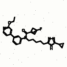 CCOc1cc(-c2cccc(N(CCCCCc3nnc(C4CC4)[nH]3)C(=O)C34CC(F)(C3)C4)c2)ccn1